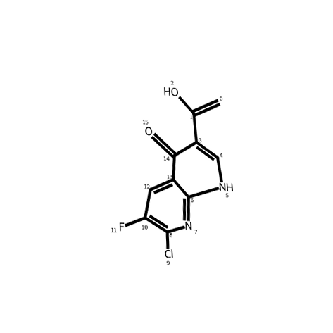 C=C(O)c1c[nH]c2nc(Cl)c(F)cc2c1=O